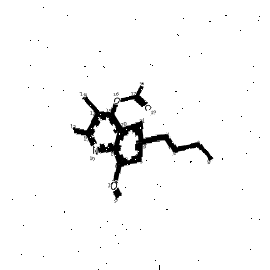 CCCCc1cc(OC)c2nc(C)c(C)c(OC(C)=O)c2c1